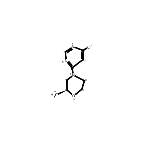 C[C@H]1CN(c2cc(Cl)ncn2)CCO1